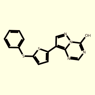 Oc1ncnc2c(-c3ccc(Sc4ccccc4)s3)cnn12